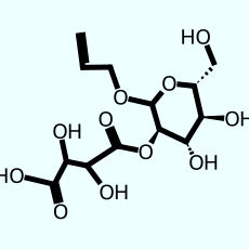 C=CCOC1O[C@H](CO)[C@@H](O)[C@H](O)[C@H]1OC(=O)C(O)C(O)C(=O)O